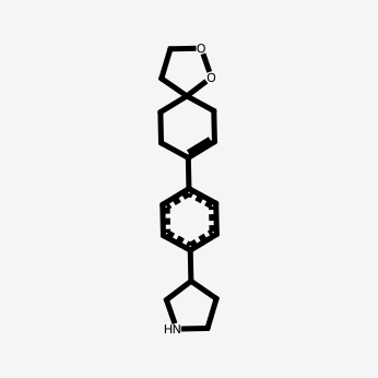 C1=C(c2ccc(C3CCNC3)cc2)CCC2(C1)CCOO2